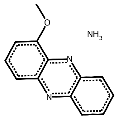 COc1cccc2nc3ccccc3nc12.N